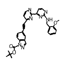 COc1ccccc1CNc1nccc(-c2nccc(C#Cc3ccc4c(cnn4C(=O)OC(C)(C)C)c3)n2)n1